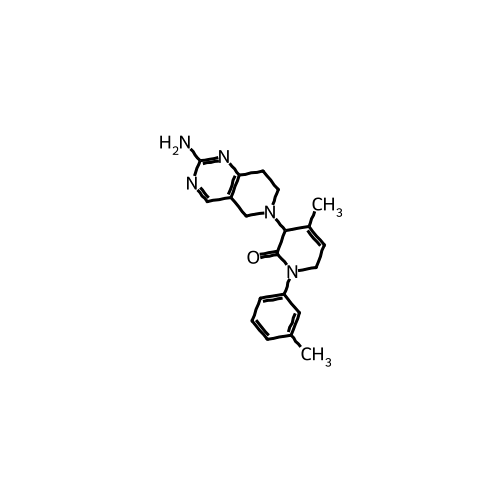 CC1=CCN(c2cccc(C)c2)C(=O)C1N1CCc2nc(N)ncc2C1